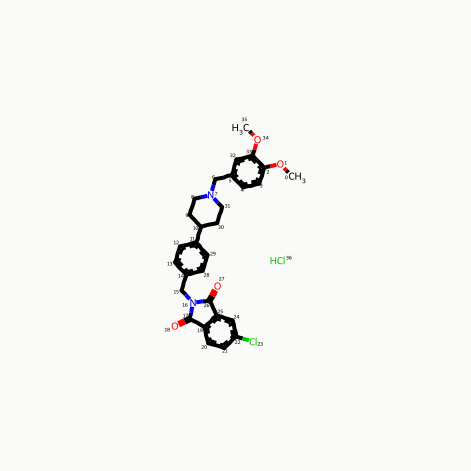 COc1ccc(CN2CCC(c3ccc(CN4C(=O)c5ccc(Cl)cc5C4=O)cc3)CC2)cc1OC.Cl